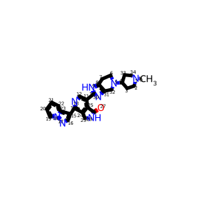 CN1CCC(N2CCc3[nH]c(-c4cnc(-c5cnn6ccccc56)c5c4C(=O)NC5)nc3C2)CC1